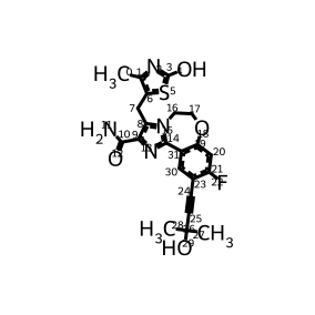 Cc1nc(O)sc1Cc1c(C(N)=O)nc2n1CCOc1cc(F)c(C#CC(C)(C)O)cc1-2